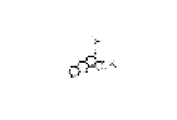 COc1ccc2c(c1)C(=O)c1c(cc(COC(N)=O)c3c1CC1OC(C)(C)OC31)C2=O